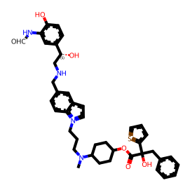 CN(CCCn1ccc2cc(CNC[C@@H](O)c3ccc(O)c(NC=O)c3)ccc21)C1CCC(OC(=O)C(O)(Cc2ccccc2)c2cccs2)CC1